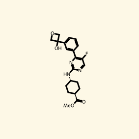 COC(=O)[C@H]1CC[C@H](Nc2ncc(F)c(-c3cccc(C4(O)COC4)c3)n2)CC1